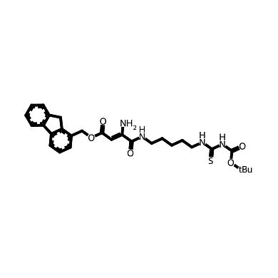 CC(C)(C)OC(=O)NC(=S)NCCCCCNC(=O)C(N)=CC(=O)OCc1cccc2c1Cc1ccccc1-2